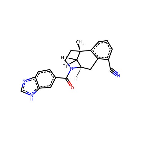 CC1(C)[C@H]2Cc3c(C#N)cccc3[C@@]1(C)CCN2C(=O)c1ccc2nc[nH]c2c1